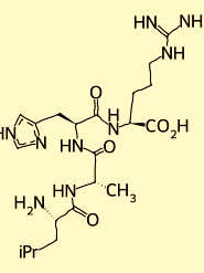 CC(C)C[C@H](N)C(=O)N[C@@H](C)C(=O)N[C@@H](Cc1c[nH]cn1)C(=O)N[C@@H](CCCNC(=N)N)C(=O)O